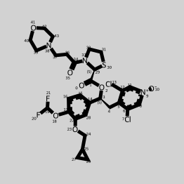 O=C(O[C@@H](Cc1c(Cl)c[n+]([O-])cc1Cl)c1ccc(OC(F)F)c(OCC2CC2)c1)[C@@H]1SCCN1C(=O)CCN1CCOCC1